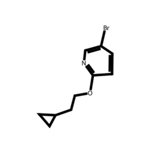 Brc1ccc(OCCC2CC2)nc1